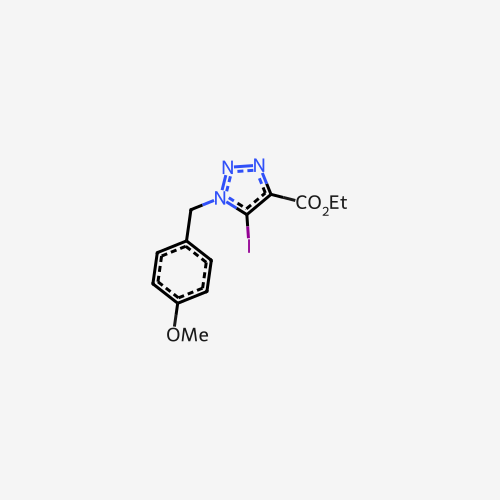 CCOC(=O)c1nnn(Cc2ccc(OC)cc2)c1I